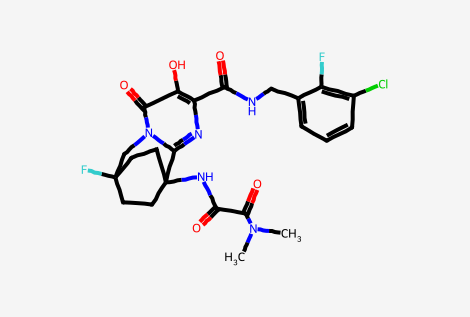 CN(C)C(=O)C(=O)NC12CCC(F)(CC1)Cn1c2nc(C(=O)NCc2cccc(Cl)c2F)c(O)c1=O